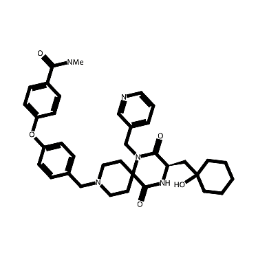 CNC(=O)c1ccc(Oc2ccc(CN3CCC4(CC3)C(=O)N[C@H](CC3(O)CCCCC3)C(=O)N4Cc3cccnc3)cc2)cc1